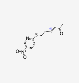 CC(=O)/C=C/CCSc1ccc([N+](=O)[O-])cn1